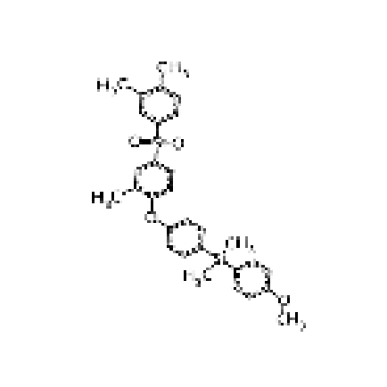 COc1ccc([Si](C)(C)c2ccc(Oc3ccc(S(=O)(=O)c4ccc(C)c(C)c4)cc3C)cc2)cc1